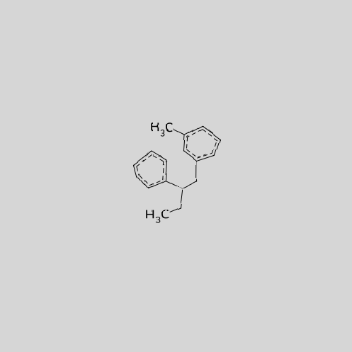 CCC(Cc1cccc(C)c1)c1ccccc1